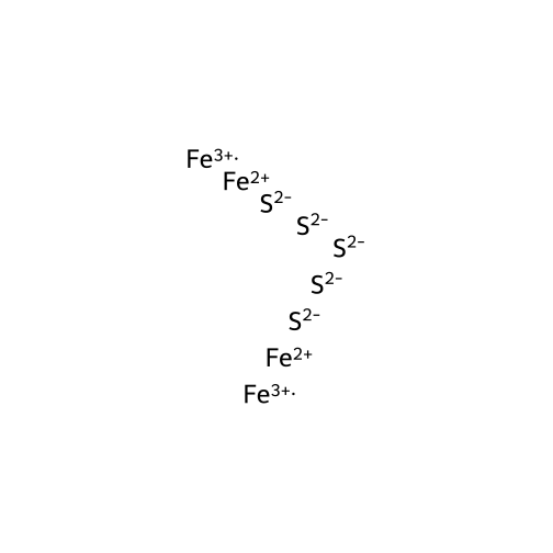 [Fe+2].[Fe+2].[Fe+3].[Fe+3].[S-2].[S-2].[S-2].[S-2].[S-2]